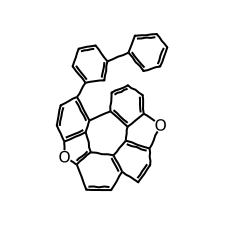 c1ccc(-c2cccc(-c3ccc4oc5ccc6ccc7oc8cccc9c8c7c6c5c4c3-9)c2)cc1